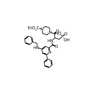 CCOC(=O)N1CCN(C(=O)C(CP(=O)(O)O)NC(=O)c2cc(NCc3ccccc3)cc(-c3ccccc3)n2)CC1